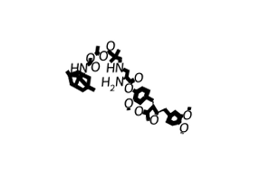 COc1ccc(C[C@H]2OCC(=O)[C@@H]2Cc2ccc(OC(=O)[C@@H](N)CNCC(C)(C)C(=O)OC(C)OC(=O)NC34CC5CC(C)(CC(C)(C5)C3)C4)c(OC)c2)cc1OC